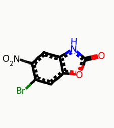 O=c1[nH]c2cc([N+](=O)[O-])c(Br)cc2o1